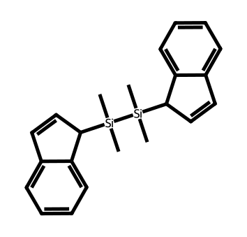 C[Si](C)(C1C=Cc2ccccc21)[Si](C)(C)C1C=Cc2ccccc21